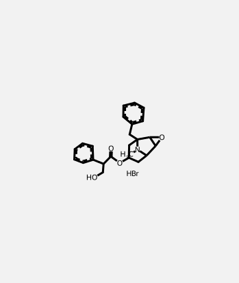 Br.CN1C2CC(OC(=O)C(CO)c3ccccc3)CC1(Cc1ccccc1)C1OC21